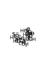 CC1(O)[C@@H](O)[C@@](F)(COP(=O)(O)OP(=O)(O)OP(=O)(O)O)O[C@H]1n1ccc(=S)[nH]c1=O